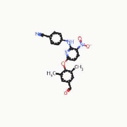 Cc1cc(C=O)cc(C)c1Oc1ccc([N+](=O)[O-])c(Nc2ccc(C#N)cc2)n1